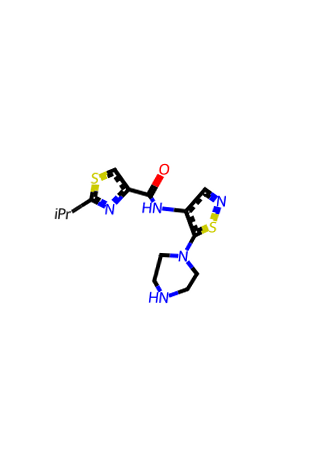 CC(C)c1nc(C(=O)Nc2cnsc2N2CCNCC2)cs1